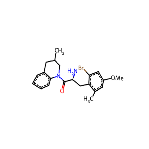 COc1cc(C)c(C[C@H](N)C(=O)N2CC(C)Cc3ccccc32)c(Br)c1